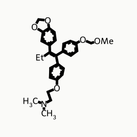 CCC(=C(c1ccc(OCCN(C)C)cc1)c1ccc(OCOC)cc1)c1ccc2c(c1)OCO2